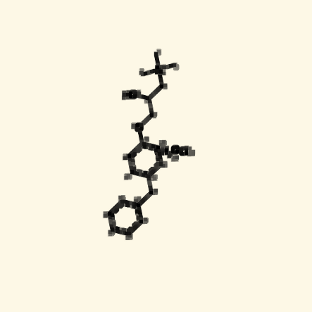 C[N+](C)(C)CC(O)COc1ccc(Cc2ccccc2)cc1.O.[Cl-]